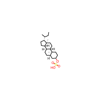 CCC(C)[C@H]1CC[C@H]2[C@@H]3CC[C@@H]4C[C@H](OS(=O)(=O)O)CC[C@]4(C)[C@H]3CC[C@]12C